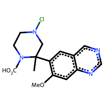 COc1cc2ncncc2cc1C1(C)CN(Cl)CCN1C(=O)O